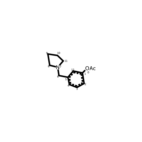 CC(=O)Oc1cccc(CN2CCCC2)c1